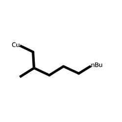 CCCCCCCC(C)[CH2][Cu]